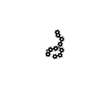 c1ccc(-c2cccc(-c3cccc(N(c4ccc(-c5cccc(-c6ccc7ccccc7c6)c5)cc4)c4ccc(-c5ccc6sc7ccccc7c6c5)cc4)c3)c2)cc1